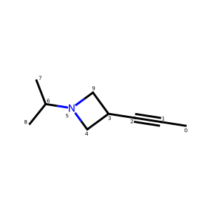 CC#CC1CN(C(C)C)C1